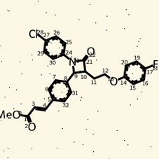 COC(=O)C=Cc1ccc(C2C(CCOc3ccc(F)cc3)C(=O)N2c2ccc(Cl)cc2)cc1